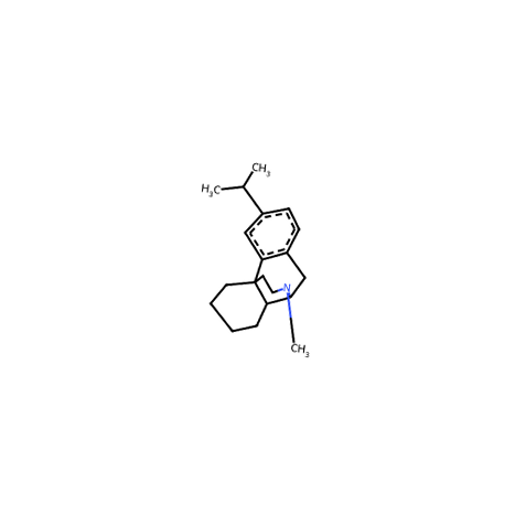 CC(C)c1ccc2c(c1)C13CCCCC1C(C2)N(C)CC3